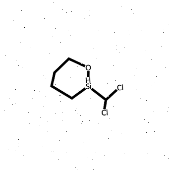 ClC(Cl)[SiH]1CCCCO1